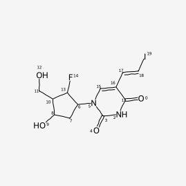 O=c1[nH]c(=O)n(C2CC(O)C(CO)C2F)cc1/C=C/I